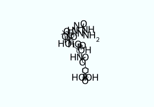 CC1(C)O[C@@H]2[C@H](O1)[C@@H](C(O)CCC(CCNC(=O)OCc1ccc(P(=O)(O)O)cc1)P(=O)(O)O)O[C@H]2n1cnc2c(=O)[nH]c(N)nc21